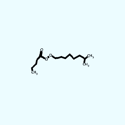 CCCCC(=O)OOCCCCCCC(C)C